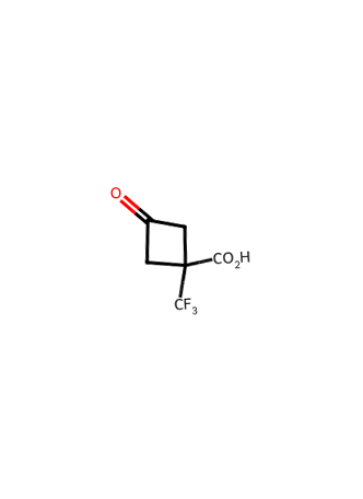 O=C1CC(C(=O)O)(C(F)(F)F)C1